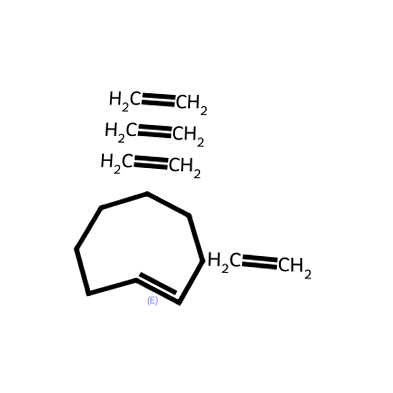 C1=C/CCCCCC/1.C=C.C=C.C=C.C=C